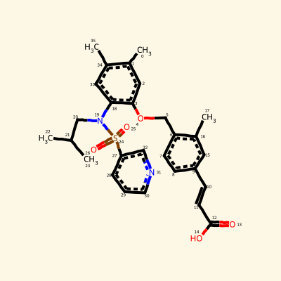 Cc1cc(OCc2ccc(C=CC(=O)O)cc2C)c(N(CC(C)C)S(=O)(=O)c2cccnc2)cc1C